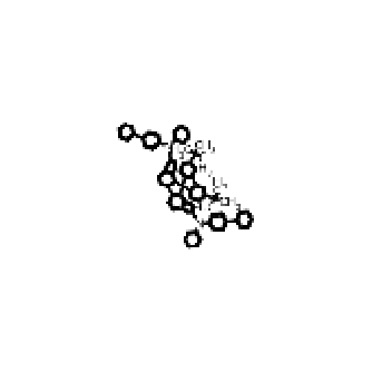 CC(C)(C)c1ccc2c(c1)-c1cc(C(C)(C)C)ccc1C21c2c(ccc3cc(N(c4ccccc4)c4ccc(-c5ccccc5)cc4)ccc23)-c2ccc3cc(N(c4ccccc4)c4ccc(-c5ccccc5)cc4)ccc3c21